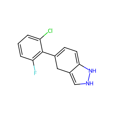 Fc1cccc(Cl)c1C1=CC=C2NNC=C2C1